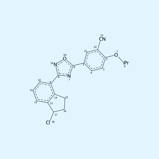 CC(C)Oc1ccc(-c2nc(-c3cccc4c3CCC4Cl)no2)cc1C#N